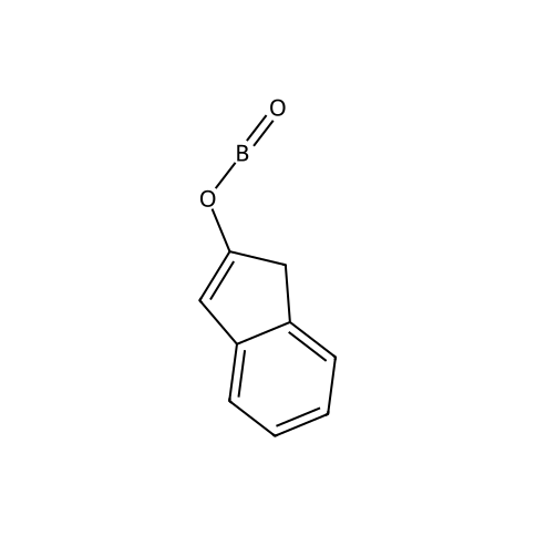 O=BOC1=Cc2ccccc2C1